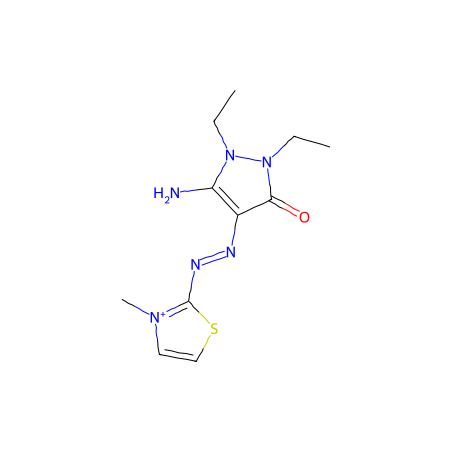 CCn1c(N)c(/N=N/c2scc[n+]2C)c(=O)n1CC